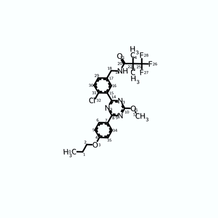 CCCOc1ccc(-c2nc(OC)nc(-c3cc(CNC(=O)C(C)(C)C(F)(F)F)ccc3Cl)n2)cc1